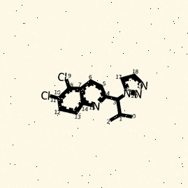 CC(C)C(c1ccc2c(Cl)c(Cl)ccc2n1)n1ccnn1